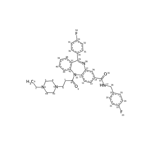 CCN1CCN(CCC(=O)N2c3ccc(C(=O)NCc4ccc(F)cc4)cc3N=C(c3ccc(F)cc3)c3ccccc32)CC1